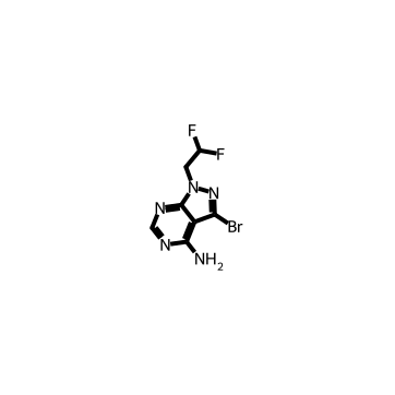 Nc1ncnc2c1c(Br)nn2CC(F)F